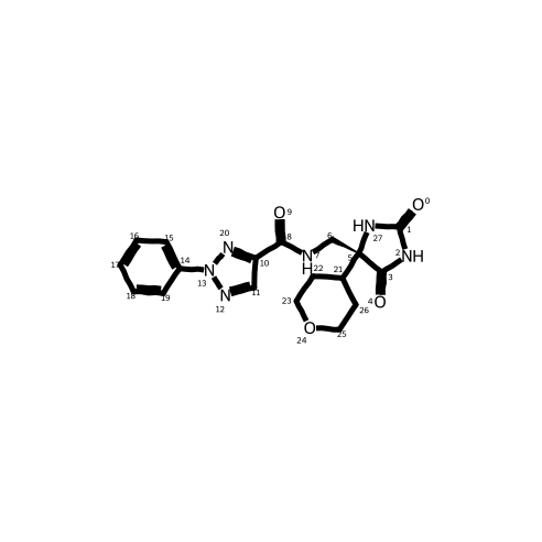 O=C1NC(=O)[C@](CNC(=O)c2cnn(-c3ccccc3)n2)(C2CCOCC2)N1